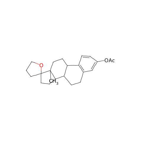 CC(=O)Oc1ccc2c(c1)CCC1C2CCC2(C)C1CCC21CCCO1